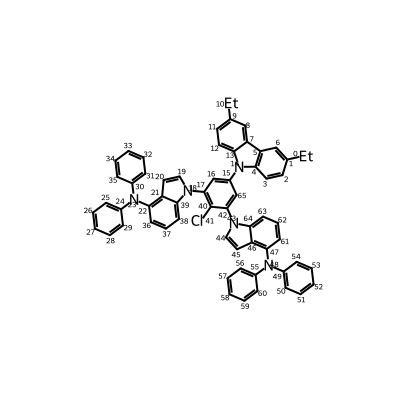 CCc1ccc2c(c1)c1cc(CC)ccc1n2-c1cc(-n2ccc3c(N(c4ccccc4)c4ccccc4)cccc32)c(Cl)c(-n2ccc3c(N(c4ccccc4)c4ccccc4)cccc32)c1